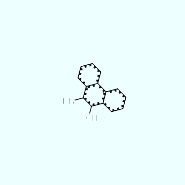 Nc1c(C=O)c2ccccc2c2ccccc12